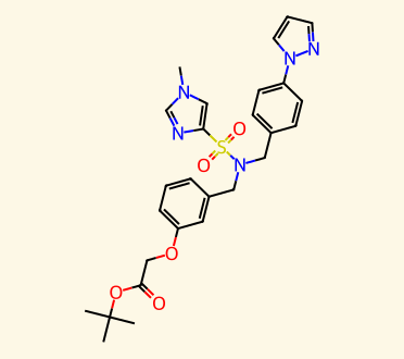 Cn1cnc(S(=O)(=O)N(Cc2ccc(-n3cccn3)cc2)Cc2cccc(OCC(=O)OC(C)(C)C)c2)c1